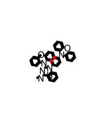 C/N=C(\N=C(/Nc1ccc(N2c3ccccc3Oc3ccccc32)cc1)N1c2ccccc2Oc2ccccc21)c1ccccc1